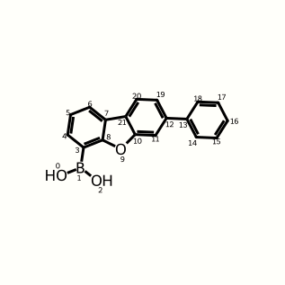 OB(O)c1cccc2c1oc1cc(-c3ccccc3)ccc12